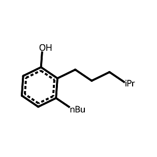 CCCCc1cccc(O)c1CCCC(C)C